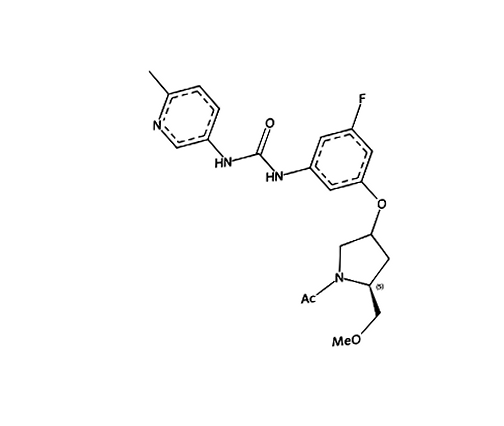 COC[C@@H]1CC(Oc2cc(F)cc(NC(=O)Nc3ccc(C)nc3)c2)CN1C(C)=O